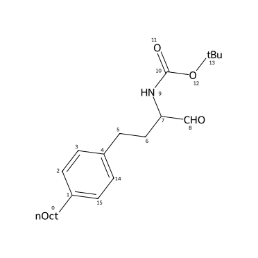 CCCCCCCCc1ccc(CCC(C=O)NC(=O)OC(C)(C)C)cc1